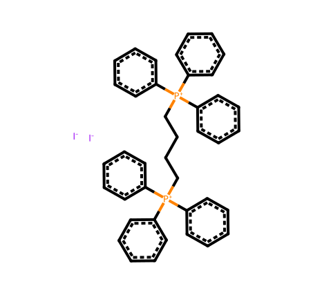 [I-].[I-].c1ccc([P+](CCCC[P+](c2ccccc2)(c2ccccc2)c2ccccc2)(c2ccccc2)c2ccccc2)cc1